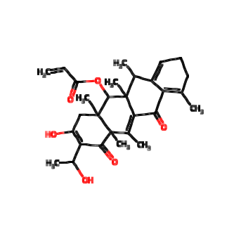 C=CC(=O)OC1C2(C)C(=C(C)C3(C)C(=O)C(C(C)O)=C(O)CC13C)C(=O)C1=C(C)CCC=C1C2C